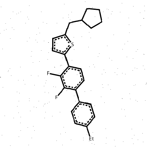 CCc1ccc(-c2ccc(-c3ccc(CC4CCCC4)s3)c(F)c2F)cc1